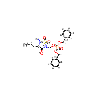 CC(C)CCC1C(=O)N(COP(=O)(OCc2ccccc2)OCc2ccccc2)S(=O)(=O)N1C